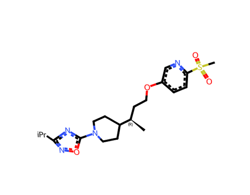 CC(C)c1noc(N2CCC([C@H](C)CCOc3ccc(S(C)(=O)=O)nc3)CC2)n1